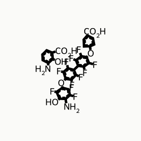 Nc1c(O)c(F)c(Oc2c(F)c(F)c(-c3c(F)c(F)c(Oc4ccc(C(=O)O)cc4)c(F)c3F)c(F)c2F)c(F)c1F.Nc1cccc(C(=O)O)c1O